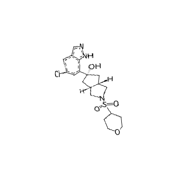 O=S(=O)(C1CCOCC1)N1C[C@@H]2C[C@@](O)(c3cc(Cl)cc4cn[nH]c34)C[C@@H]2C1